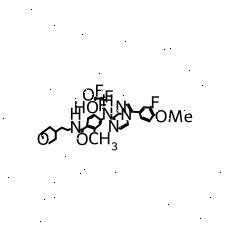 COc1ccc(-c2cnc3c(Nc4ccc(C(=O)NCCC5CCOCC5)c(C)c4)nccn23)cc1F.O=C(O)C(F)(F)F